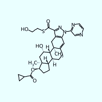 C[C@]12C[C@H](O)[C@H]3[C@@H](CCC4=Cc5c(c(C(=O)SCCO)nn5-c5cnccn5)C[C@@]43C)[C@@H]1CC[C@H]2OC(=O)C1CC1